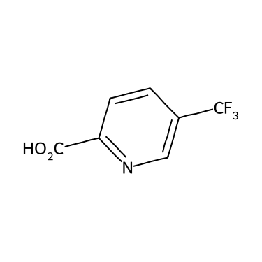 O=C(O)c1ccc(C(F)(F)F)cn1